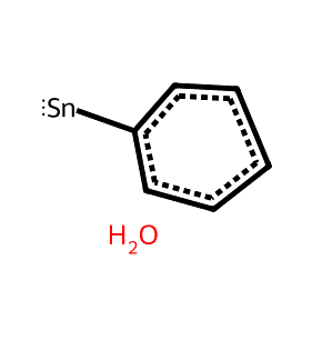 O.[Sn][c]1ccccc1